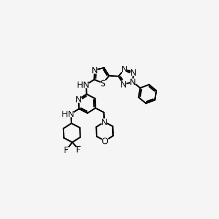 FC1(F)CCC(Nc2cc(CN3CCOCC3)cc(Nc3ncc(-c4nnn(-c5ccccc5)n4)s3)n2)CC1